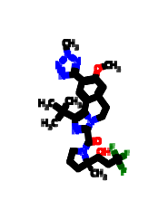 COc1cc2c(cc1-c1nnn(C)n1)-c1c(C(C)(C)C)nc(C(=O)N3CCC[C@@]3(C)[C@@H](O)CC(F)(F)F)n1CC2